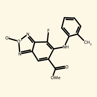 COC(=O)c1cc2n[o+]([O-])nc2c(F)c1Nc1ccccc1C